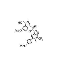 COc1ccc(-c2nc3c(C(=O)N(CCN(C)C(CO)c4cccc(OC)c4)C(C)C)cnn3c(C(F)(F)F)c2C)cc1